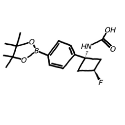 CC1(C)OB(c2ccc([C@]3(NC(=O)O)C[C@H](F)C3)cc2)OC1(C)C